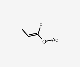 CC=C(F)OC(C)=O